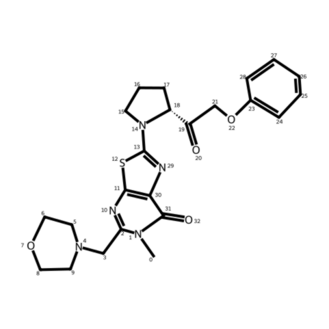 Cn1c(CN2CCOCC2)nc2sc(N3CCC[C@@H]3C(=O)COc3ccccc3)nc2c1=O